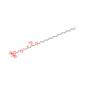 CCCCCCCCCCCCCCCCCCOCC(CSCCOCCOS(C)(=O)=O)OC